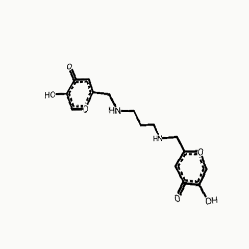 O=c1cc(CNCCCNCc2cc(=O)c(O)co2)occ1O